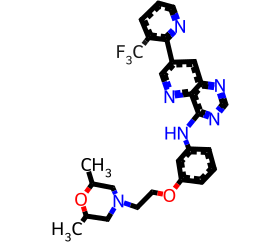 CC1CN(CCOc2cccc(Nc3ncnc4cc(-c5ncccc5C(F)(F)F)cnc34)c2)CC(C)O1